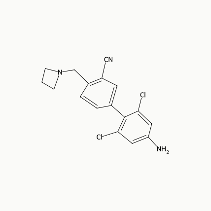 N#Cc1cc(-c2c(Cl)cc(N)cc2Cl)ccc1CN1CCC1